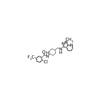 Cn1nc(NCC2CCC(NC(=O)c3cc(C(F)(F)F)ccc3Cl)CC2)c2cccnc21